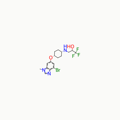 Cn1cnc2c(Br)cc(O[C@H]3CC[C@@H](NCC(O)C(F)(F)F)CC3)cc21